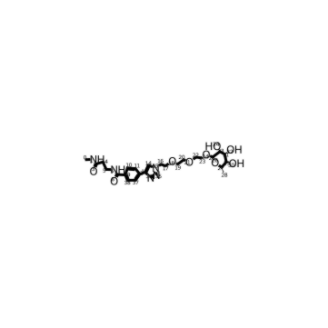 CNC(=O)CCNC(=O)c1ccc(-c2cn(CCOCCOCCOC3O[C@@H](C)[C@@H](O)[C@@H](O)[C@@H]3O)nn2)cc1